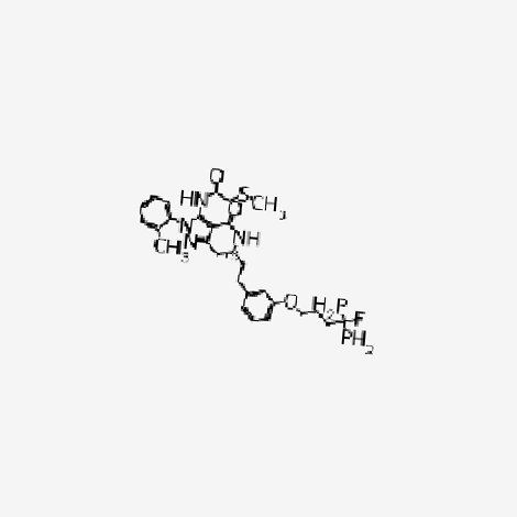 CSCC(=O)Nc1c2c(nn1-c1ccccc1C)C[C@H](CCc1cccc(OCCCC(F)(P)P)c1)NC2=O